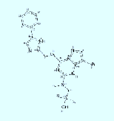 CC(C)c1cnn2c(NCc3ncc(-c4ccccc4)[nH]3)nc(N(C)CC(C)(C)O)nc12